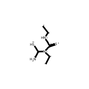 CCNC(=S)N(CC)C(N)S